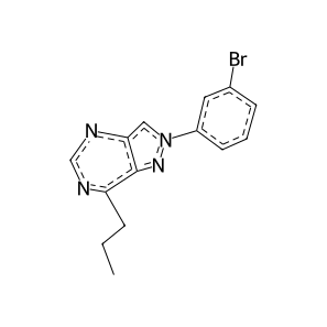 CCCc1ncnc2cn(-c3cccc(Br)c3)nc12